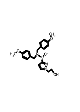 COc1ccc(CN(Cc2ccc(OC)cc2)[S+]([O-])c2ccn(CCO)n2)cc1